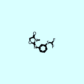 CN1C(=O)COC1=Nc1cccc(SC(F)F)c1